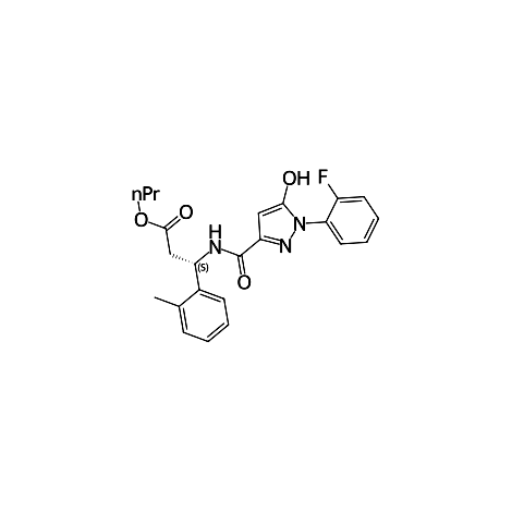 CCCOC(=O)C[C@H](NC(=O)c1cc(O)n(-c2ccccc2F)n1)c1ccccc1C